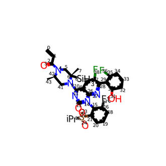 C=CC(=O)N1C[C@](C)([SiH3])N(c2nc(=O)n(-c3c(CC)cccc3S(=O)(=O)C(C)C)c3nc(-c4c(O)cccc4F)c(F)cc23)C[C@H]1C